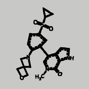 Cn1cc(-c2cc(S(=O)(=O)C3CC3)ccc2N2CC3(COC3)C2)c2cc[nH]c2c1=O